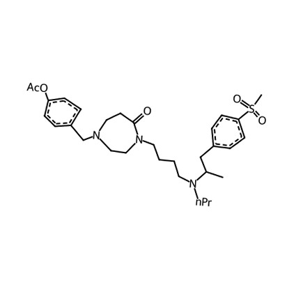 CCCN(CCCCN1CCN(Cc2ccc(OC(C)=O)cc2)CCC1=O)C(C)Cc1ccc(S(C)(=O)=O)cc1